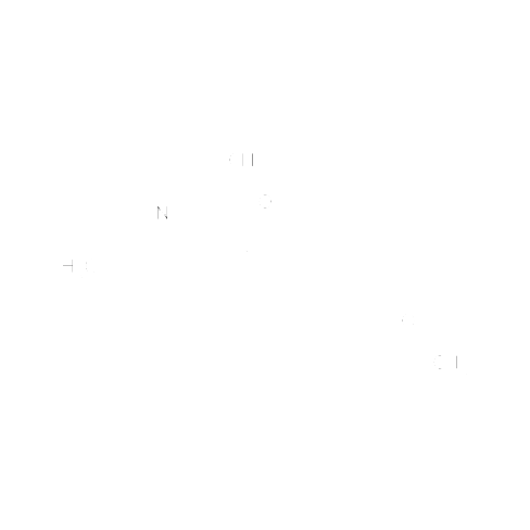 CCN(CC)CC(=O)CCCOC